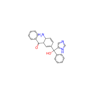 NC1C=CC(C(O)(c2ccccc2)c2cnc[nH]2)=CC1C(=O)c1ccccc1